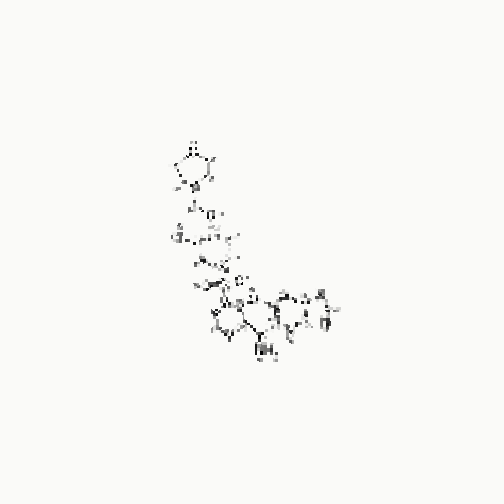 NC(=O)c1cccc(S(=O)(=O)c2ccc(OCC3CCOCC3)c(Cl)c2)c1Oc1cnc2[nH]ccc2c1